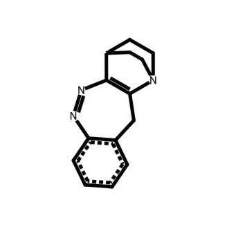 c1ccc2c(c1)CC1=C(N=N2)C2CCN1CC2